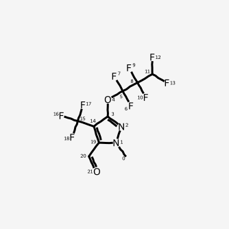 Cn1nc(OC(F)(F)C(F)(F)C(F)F)c(C(F)(F)F)c1C=O